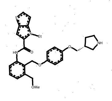 CCn1c(C(=O)Nc2cccc(COC)c2COc2ccc(OC[C@@H]3CCNC3)cc2)cc2sccc21